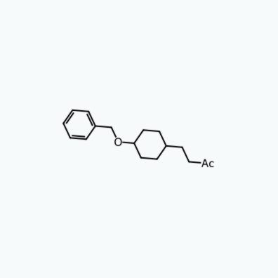 CC(=O)CCC1CCC(OCc2ccccc2)CC1